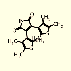 Cc1sc(C)c(C2=C(c3c(C)sc(C)c3C)C(=O)NC2=O)c1C